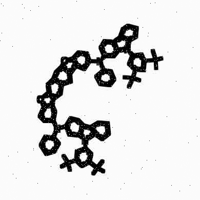 CC(C)(C)c1cc(-n2c3ccccc3c3ccc(N(c4ccccc4)c4ccc5oc6cc7cc8oc9ccc(N(c%10ccccc%10)c%10ccc%11c%12ccccc%12n(-c%12cc(C(C)(C)C)cc(C(C)(C)C)c%12)c%11c%10)cc9c8cc7cc6c5c4)cc32)cc(C(C)(C)C)c1